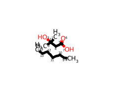 CC(C)(O)CC(=O)O.CCCCCCC